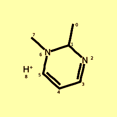 CC1N=CC=CN1C.[H+]